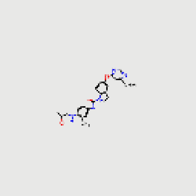 CC(=O)Nc1cc(Oc2ccc3c(c2)CCN3C(=O)Nc2ccc(NCC(C)O)c(C(F)(F)F)c2)ncn1